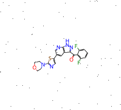 O=C(c1c(F)cccc1F)c1n[nH]c2ncc(-c3cnc(N4CCOCC4)s3)cc12